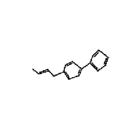 CC=C[CH]c1ccc(-c2ccccc2)cc1